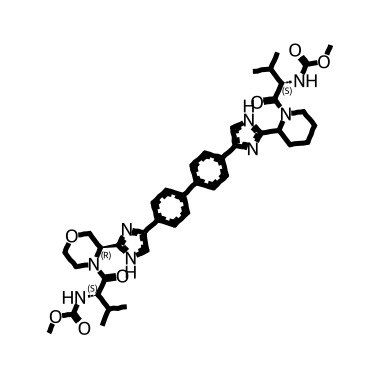 COC(=O)N[C@H](C(=O)N1CCCCC1c1nc(-c2ccc(-c3ccc(-c4c[nH]c([C@@H]5COCCN5C(=O)[C@@H](NC(=O)OC)C(C)C)n4)cc3)cc2)c[nH]1)C(C)C